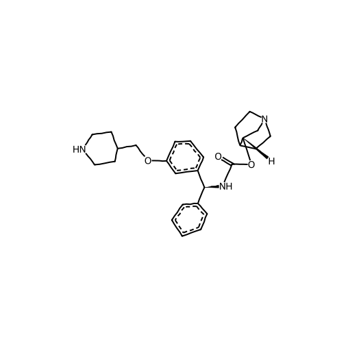 O=C(N[C@@H](c1ccccc1)c1cccc(OCC2CCNCC2)c1)O[C@H]1CN2CCC1CC2